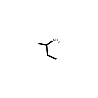 CC[CH](C)[AlH2]